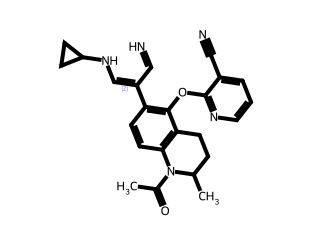 CC(=O)N1c2ccc(/C(C=N)=C/NC3CC3)c(Oc3ncccc3C#N)c2CCC1C